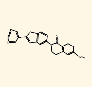 COC1=CC2=C(CC1)C(=O)N(c1ccc3oc(-c4cccnc4)nc3c1)CC2